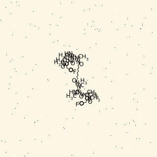 CC1CN(C(=O)CCCCCCCCC(=O)N2CCN(C[C@H]3CN[C@H](C)CN3CC(=O)N3CC(C)(C)c4c3cc(Cc3ccc(F)cc3)c(=O)n4C)C(C)C2)CCN1C[C@H]1CN[C@H](C)CN1CC(=O)N1CC(C)(C)c2c1cc(Cc1ccc(F)cc1)c(=O)n2C